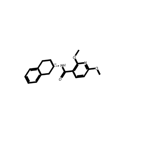 COc1ccc(C(=O)N[C@H]2CCc3ccccc3C2)c(OC)n1